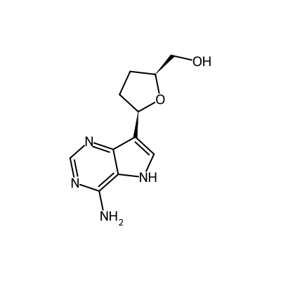 Nc1ncnc2c([C@H]3CC[C@@H](CO)O3)c[nH]c12